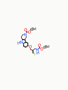 CC(C)(C)OC(=O)NC/C(=C\F)COc1ccc2[nH]c3c(c2c1)CN(C(=O)OC(C)(C)C)CC3